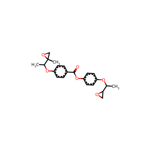 CC(Oc1ccc(OC(=O)c2ccc(OC(C)C3(C)CO3)cc2)cc1)C1CO1